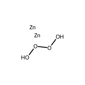 OOOO.[Zn].[Zn]